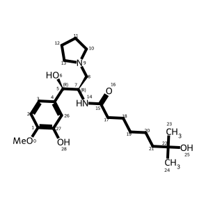 COc1ccc([C@@H](O)[C@@H](CN2CCCC2)NC(=O)CCCCCC(C)(C)O)cc1O